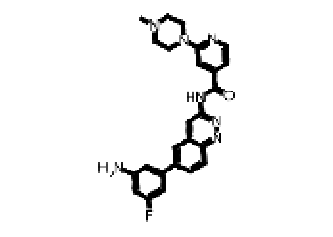 CN1CCN(c2cc(C(=O)Nc3cc4cc(-c5cc(N)cc(F)c5)ccc4nn3)ccn2)CC1